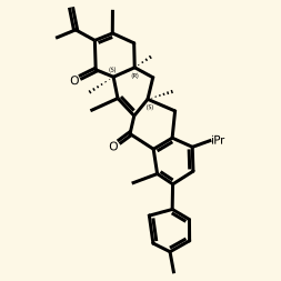 C=C(C)C1=C(C)C[C@@]2(C)C[C@@]3(C)Cc4c(C(C)C)cc(-c5ccc(C)cc5)c(C)c4C(=O)C3=C(C)[C@@]2(C)C1=O